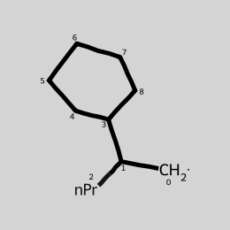 [CH2]C(CCC)C1CCCCC1